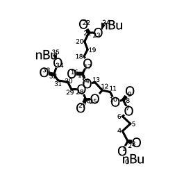 CCCCOC(=O)CCCOC(=O)OCC(COC(=O)OCCCC(=O)OCCCC)OC(=O)OCCCC(=O)OCCCC